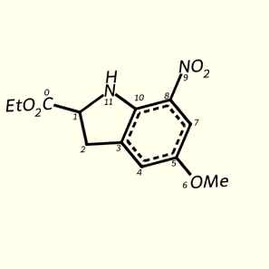 CCOC(=O)C1Cc2cc(OC)cc([N+](=O)[O-])c2N1